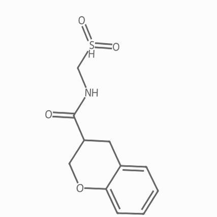 O=C(NC[SH](=O)=O)C1COc2ccccc2C1